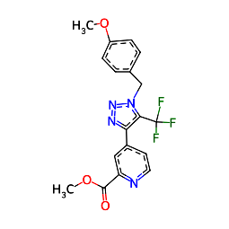 COC(=O)c1cc(-c2nnn(Cc3ccc(OC)cc3)c2C(F)(F)F)ccn1